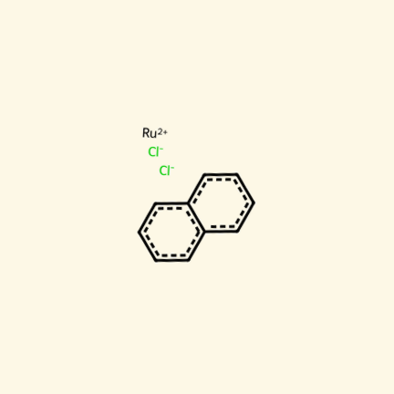 [Cl-].[Cl-].[Ru+2].c1ccc2ccccc2c1